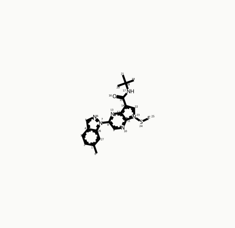 Cc1ccc2cnn(-c3cnc4c(n3)c(C(=O)NC(C)(C)C)cn4SF)c2c1